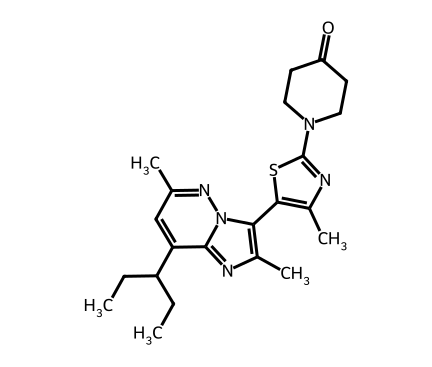 CCC(CC)c1cc(C)nn2c(-c3sc(N4CCC(=O)CC4)nc3C)c(C)nc12